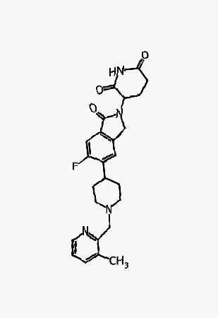 Cc1cccnc1CN1CCC(c2cc3c(cc2F)C(=O)N(C2CCC(=O)NC2=O)C3)CC1